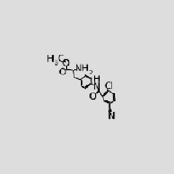 COC(=O)C(N)Cc1ccc(NC(=O)c2cc(C#N)ccc2Cl)cc1